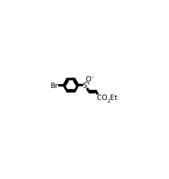 CCOC(=O)/C=C/[S+]([O-])c1ccc(Br)cc1